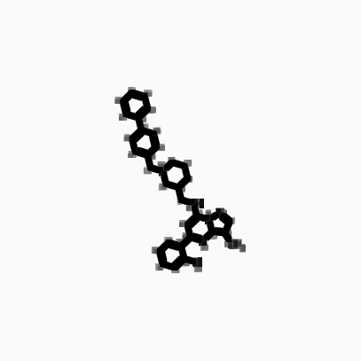 Cc1cnn2c(NCC3CCCN(Cc4ccc(-c5ccccc5)cc4)C3)cc(-c3ccccc3Cl)nc12